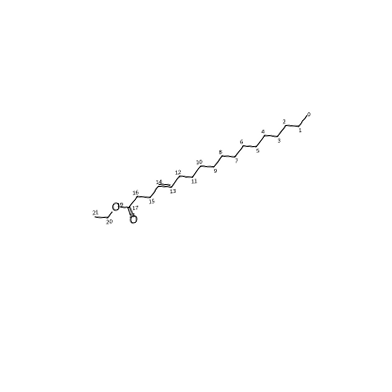 CCCCCCCCCCCCCC=CCCC(=O)OCC